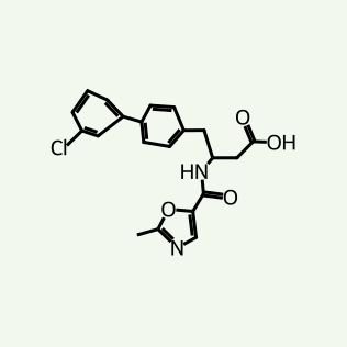 Cc1ncc(C(=O)NC(CC(=O)O)Cc2ccc(-c3cccc(Cl)c3)cc2)o1